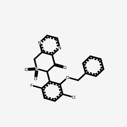 O=C1c2nccnc2CS(=O)(=O)C1c1c(F)ccc(Cl)c1OCc1ccccc1